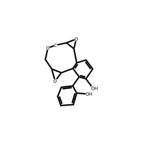 Oc1ccccc1-c1c(O)ccc2c1C1OC1COCC1OC21